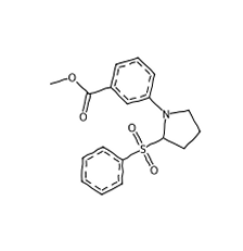 COC(=O)c1cccc(N2CCCC2S(=O)(=O)c2ccccc2)c1